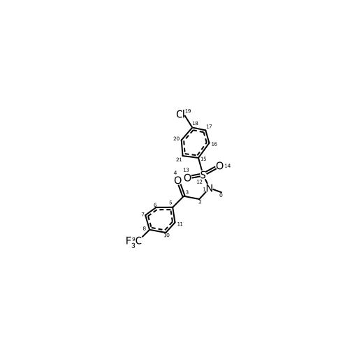 CN(CC(=O)c1ccc(C(F)(F)F)cc1)S(=O)(=O)c1ccc(Cl)cc1